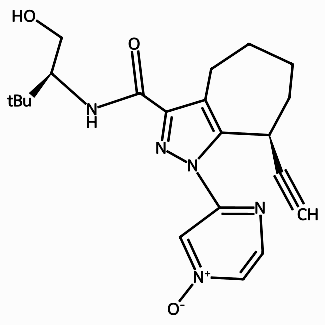 C#C[C@@H]1CCCCc2c(C(=O)N[C@H](CO)C(C)(C)C)nn(-c3c[n+]([O-])ccn3)c21